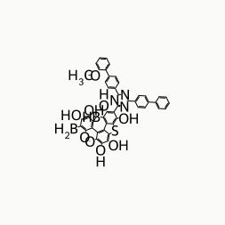 Bc1c(O)c(O)c2c3c1OOc1c(O)c(O)c4sc5c(O)c(-c6nc(-c7ccc(-c8ccccc8)cc7)nc(-c7ccc(-c8ccccc8OC)cc7)n6)c(O)c(c5c4c1-3)B2